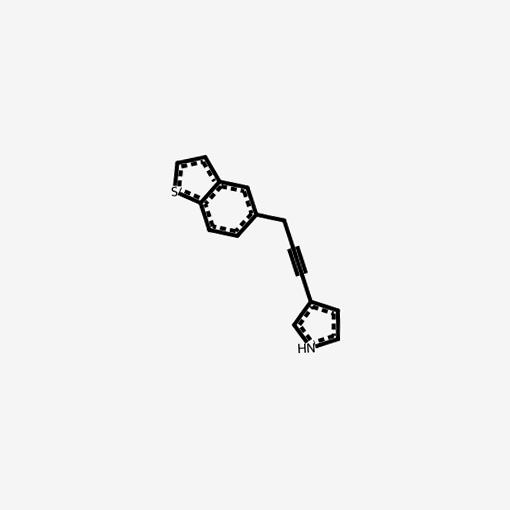 C(#Cc1cc[nH]c1)Cc1ccc2sccc2c1